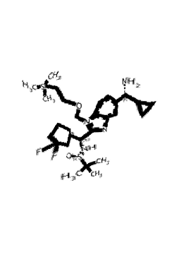 CC(C)(C)[S@@+]([O-])N[C@H](c1nc2cc([C@H](N)C3CC3)ccc2n1COCC[Si](C)(C)C)[C@@H]1CCCC(F)(F)C1